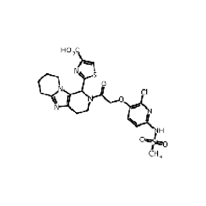 CS(=O)(=O)Nc1ccc(OCC(=O)N2CCc3nc4n(c3C2c2nc(C(=O)O)cs2)CCCC4)c(Cl)n1